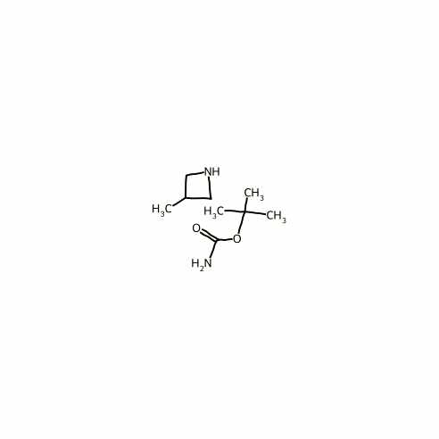 CC(C)(C)OC(N)=O.CC1CNC1